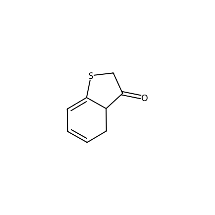 O=C1CSC2=CC=CCC12